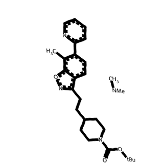 CNC.Cc1c(-c2ccccn2)ccc2c(CCC3CCN(C(=O)OC(C)(C)C)CC3)noc12